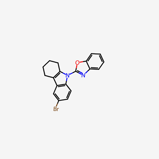 Brc1ccc2c(c1)c1c(n2-c2nc3ccccc3o2)CCCC1